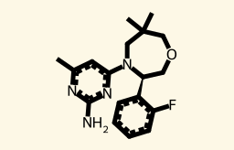 Cc1cc(N2CC(C)(C)COC[C@H]2c2ccccc2F)nc(N)n1